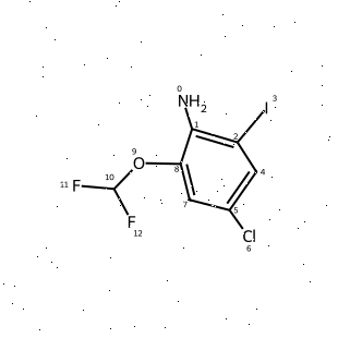 Nc1c(I)cc(Cl)cc1OC(F)F